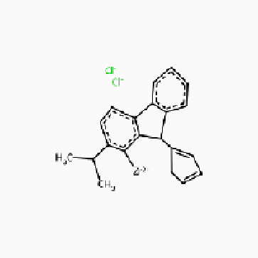 CC(C)c1ccc2c([c]1[Zr+2])C(C1=CC=CC1)c1ccccc1-2.[Cl-].[Cl-]